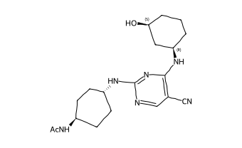 CC(=O)N[C@H]1CC[C@H](Nc2ncc(C#N)c(N[C@@H]3CCC[C@H](O)C3)n2)CC1